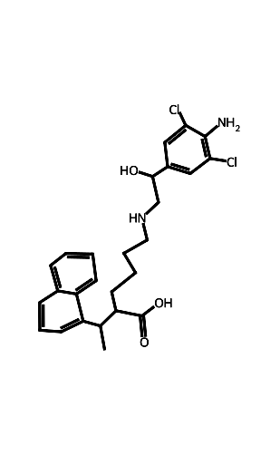 CC(c1cccc2ccccc12)C(CCCCNCC(O)c1cc(Cl)c(N)c(Cl)c1)C(=O)O